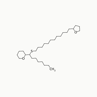 CCCCCCCC(SCCCCCCCCCCCCC1CCCO1)C1CCCCO1